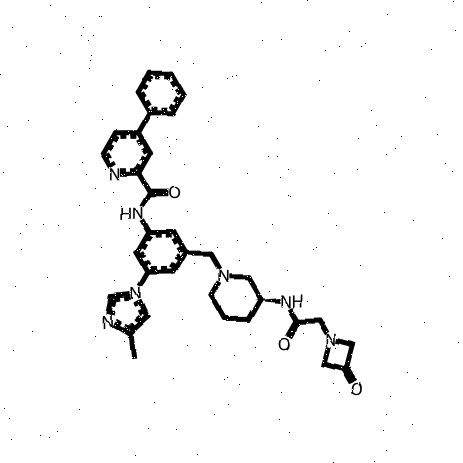 Cc1cn(-c2cc(CN3CCC[C@H](NC(=O)CN4CC(=O)C4)C3)cc(NC(=O)c3cc(-c4ccccc4)ccn3)c2)cn1